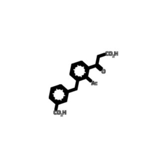 CC(=O)c1c(Cc2cccc(C(=O)O)c2)cccc1C(=O)CC(=O)O